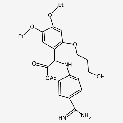 CCOc1cc(OCCCO)c(C(Nc2ccc(C(=N)N)cc2)C(=O)OC(C)=O)cc1OCC